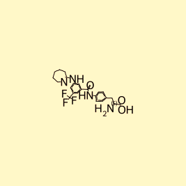 N[C@@H](Cc1ccc(NC(=O)c2cc(NC3=NCCCCC3)cc(C(F)(F)F)c2)cc1)C(=O)O